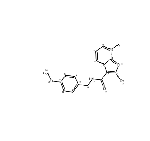 CCc1nc2c(C)cccn2c1C(=O)NCc1ccc(OC(F)(F)F)cc1